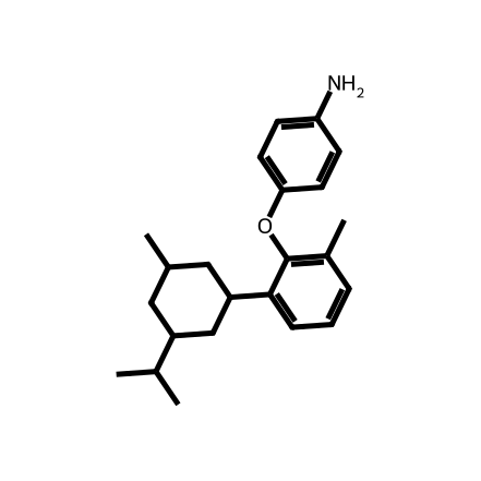 Cc1cccc(C2CC(C)CC(C(C)C)C2)c1Oc1ccc(N)cc1